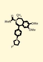 CNC(=O)N1C=C(c2ccc(N3CC[C@H](F)C3)cc2)c2cc(OC)c(OC)cc2C[C@H]1C